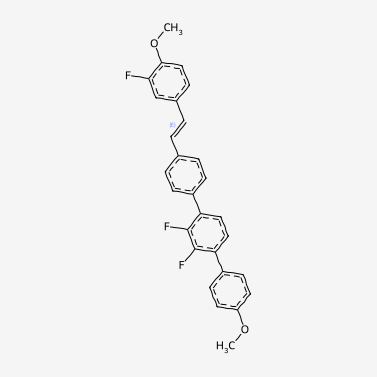 COc1ccc(-c2ccc(-c3ccc(/C=C/c4ccc(OC)c(F)c4)cc3)c(F)c2F)cc1